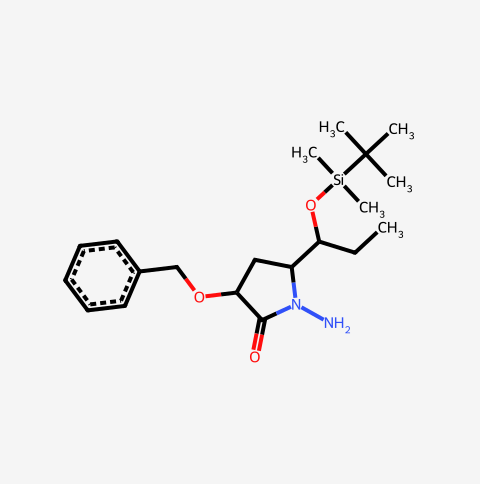 CCC(O[Si](C)(C)C(C)(C)C)C1CC(OCc2ccccc2)C(=O)N1N